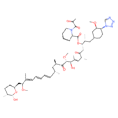 CO[C@@H](C[C@@H]1CC[C@@H](C)[C@@H](O)O1)/C(C)=C/C=C/C=C/[C@@H](C)C[C@@H](C)C(=O)[C@H](OC)[C@H](O)/C(C)=C/[C@@H](C)C(=O)C[C@H](OC(=O)C1CCCCN1C(=O)C(C)=O)[C@H](C)CC1CC[C@H](n2cnnn2)[C@H](OC)C1